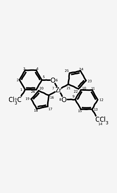 ClC(Cl)(Cl)c1cccc([O][Zr]([O]c2cccc(C(Cl)(Cl)Cl)c2)([CH]2C=CC=C2)[CH]2C=CC=C2)c1